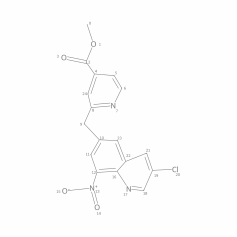 COC(=O)c1ccnc(Cc2cc([N+](=O)[O-])c3ncc(Cl)cc3c2)c1